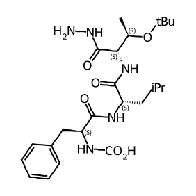 CC(C)C[C@H](NC(=O)[C@H](Cc1ccccc1)NC(=O)O)C(=O)N[C@H](C(=O)NN)[C@@H](C)OC(C)(C)C